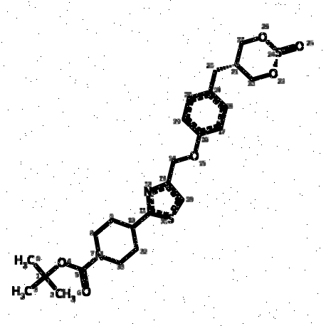 CC(C)(C)OC(=O)N1CCC(c2nc(COc3ccc(C[C@H]4CO[S@@](=O)OC4)cc3)cs2)CC1